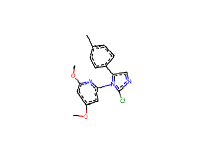 COc1cc(OC)nc(-n2c(-c3ccc(C)cc3)cnc2Cl)c1